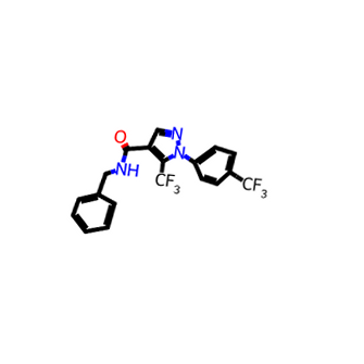 O=C(NCc1ccccc1)c1cnn(-c2ccc(C(F)(F)F)cc2)c1C(F)(F)F